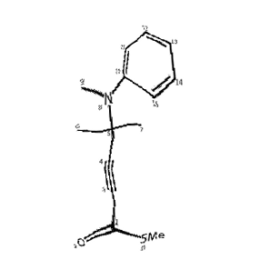 CSC(=O)C#CC(C)(C)N(C)c1ccccc1